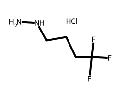 Cl.NNCCCC(F)(F)F